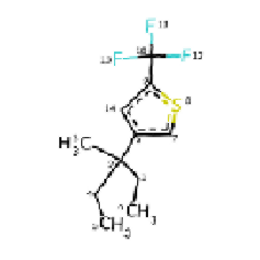 CCC(C)(CC)c1csc(C(F)(F)F)c1